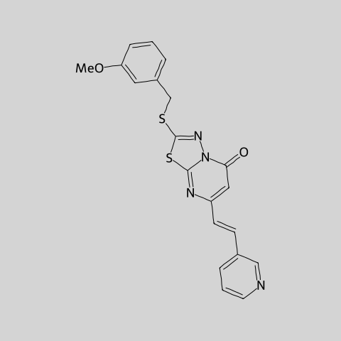 COc1cccc(CSc2nn3c(=O)cc(/C=C/c4cccnc4)nc3s2)c1